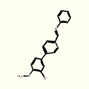 COc1ccc(-c2ccc(/C=N/c3ccccc3)cc2)cc1Cl